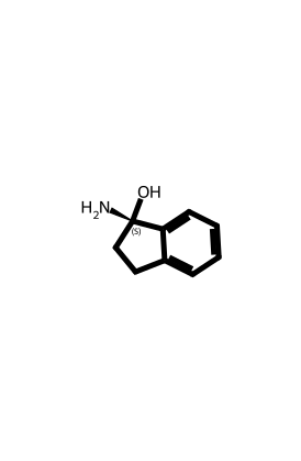 N[C@]1(O)CCc2ccccc21